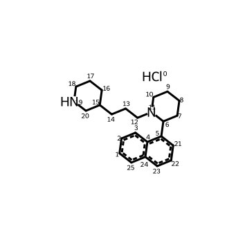 Cl.c1ccc2c(C3CCCCN3CCCC3CCCNC3)cccc2c1